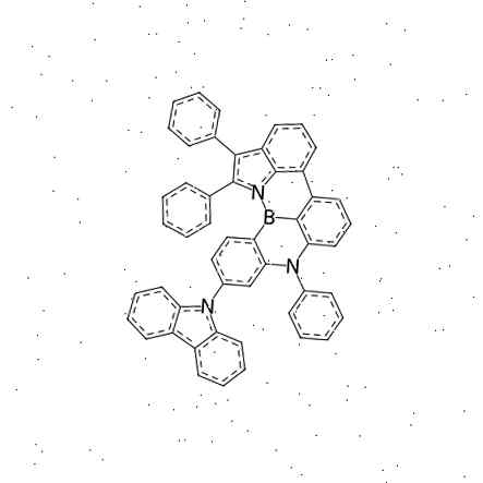 c1ccc(-c2c(-c3ccccc3)n3c4c(cccc24)-c2cccc4c2B3c2ccc(-n3c5ccccc5c5ccccc53)cc2N4c2ccccc2)cc1